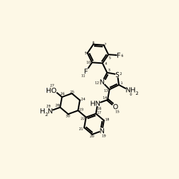 Nc1sc(-c2c(F)cccc2F)nc1C(=O)Nc1cnccc1C1CCC(O)C(N)C1